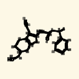 CC(CC(=O)Nc1sc2c(c1C#N)CCC(CO)C2)c1cccnc1